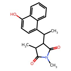 CC1C(=O)N(C)C(=O)C1C(C)c1ccc(O)c2ccccc12